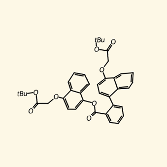 CC(C)(C)OC(=O)COc1ccc(OC(=O)c2ccccc2-c2ccc(OCC(=O)OC(C)(C)C)c3ccccc23)c2ccccc12